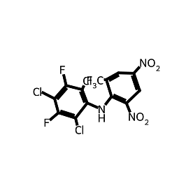 O=[N+]([O-])c1cc([N+](=O)[O-])c(Nc2c(Cl)c(F)c(Cl)c(F)c2Cl)c(C(F)(F)F)c1